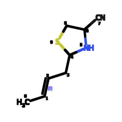 C/C=C/CC1NC(C#N)CS1